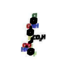 O=C(Nc1ccc(F)cc1F)OCCC(Sc1ccc(C(=O)Nc2ccc(Cl)cc2)cc1)C(=O)O